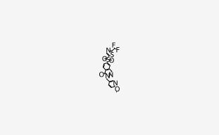 COc1ccc(Cn2ncc3cc(S(=O)(=O)c4cnc(C(F)F)s4)ccc3c2=O)cn1